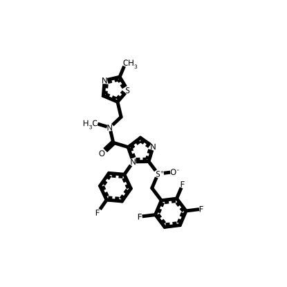 Cc1ncc(CN(C)C(=O)c2cnc([S+]([O-])Cc3c(F)ccc(F)c3F)n2-c2ccc(F)cc2)s1